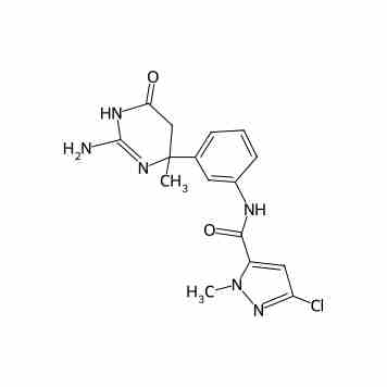 Cn1nc(Cl)cc1C(=O)Nc1cccc(C2(C)CC(=O)NC(N)=N2)c1